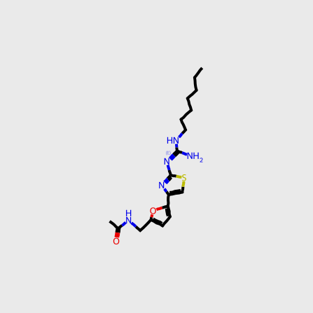 CCCCCCCN/C(N)=N/c1nc(-c2ccc(CNC(C)=O)o2)cs1